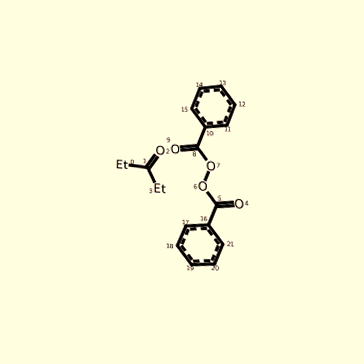 CCC(=O)CC.O=C(OOC(=O)c1ccccc1)c1ccccc1